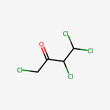 O=C(CCl)C(Cl)C(Cl)Cl